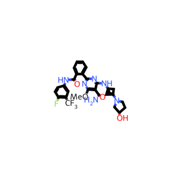 COc1nc(-c2ccccc2C(=O)Nc2ccc(F)c(C(F)(F)F)c2)nc(NC23CC(N4CCC(O)C4)(C2)C3)c1C(N)=O